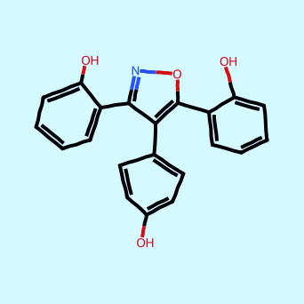 Oc1ccc(-c2c(-c3ccccc3O)noc2-c2ccccc2O)cc1